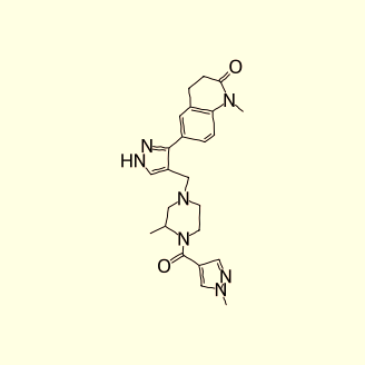 CC1CN(Cc2c[nH]nc2-c2ccc3c(c2)CCC(=O)N3C)CCN1C(=O)c1cnn(C)c1